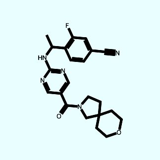 CC(Nc1ncc(C(=O)N2CCC3(CCOCC3)C2)cn1)c1ccc(C#N)cc1F